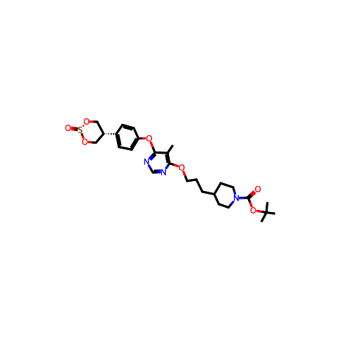 Cc1c(OCCCC2CCN(C(=O)OC(C)(C)C)CC2)ncnc1Oc1ccc([C@H]2CO[S@@](=O)OC2)cc1